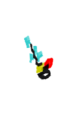 O=C(SCCC(F)C(F)C(F)CCF)c1ccccc1